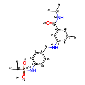 Cc1cc(NCc2ccc(NS(=O)(=O)C(C)(C)C)cc2)cc(C(=O)NC(C)C)c1